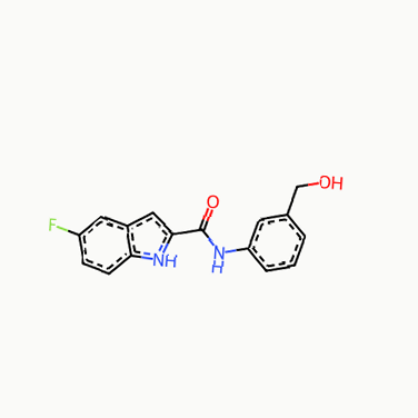 O=C(Nc1cccc(CO)c1)c1cc2cc(F)ccc2[nH]1